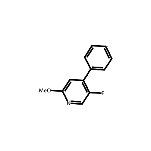 COc1cc(-c2cc[c]cc2)c(F)cn1